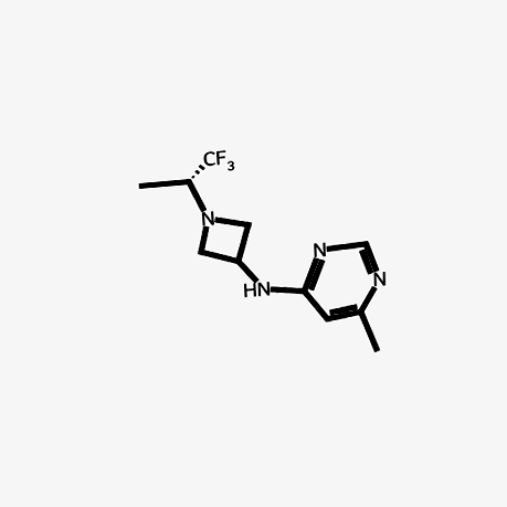 Cc1cc(NC2CN([C@H](C)C(F)(F)F)C2)ncn1